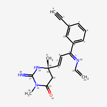 C#Cc1cccc(C(/C=C/[C@]2(C)CC(=O)N(C)C(=N)N2)=N/C=C)c1